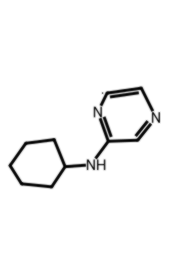 [c]1cncc(NC2CCCCC2)n1